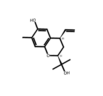 C=C[C@H]1C[C@@H](C(C)(C)O)Oc2cc(C)c(O)cc21